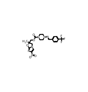 CC1(COC(=O)N2CCN(N=Cc3ccc(C(F)(F)F)cc3)CC2)Cn2cc([N+](=O)[O-])nc2O1